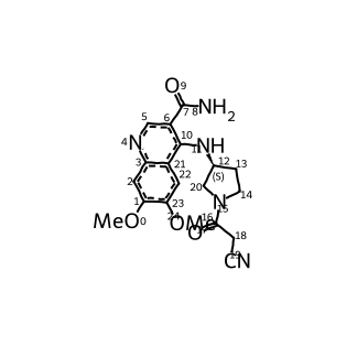 COc1cc2ncc(C(N)=O)c(N[C@H]3CCN(C(=O)CC#N)C3)c2cc1OC